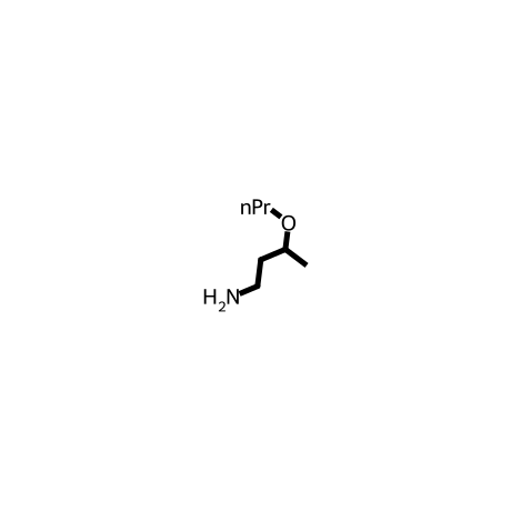 CCCOC(C)CCN